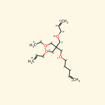 C=CCCCOCC(COCC)(COCC=C)COCC=C